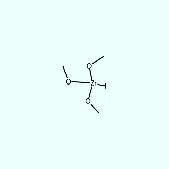 C[O][Zr]([I])([O]C)[O]C